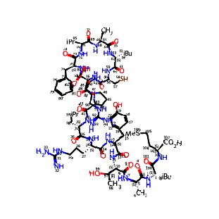 CC[C@H](C)[C@H](NC(=O)[C@H](C)NC(=O)[C@@H](NC(=O)[C@H](Cc1ccc(O)cc1)NC(=O)[C@H](CCCNC(=N)N)NC(=O)[C@H](CC(C)C)NC(=O)[C@@H]1CCCN1C(=O)[C@H](CO)NC(=O)[C@H](CS)NC(=O)[C@@H](NC(=O)[C@H](C)NC(=O)[C@@H](NC(=O)[C@H](Cc1ccccc1)NC(=O)[C@@H](N)CCCNC(=N)N)C(C)C)[C@@H](C)CC)[C@@H](C)O)C(=O)N[C@@H](CCSC)C(=O)O